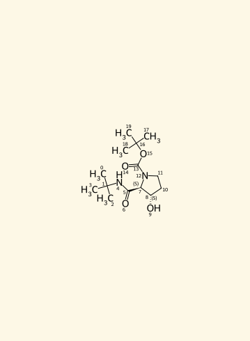 CC(C)(C)NC(=O)[C@@H]1[C@@H](O)CCN1C(=O)OC(C)(C)C